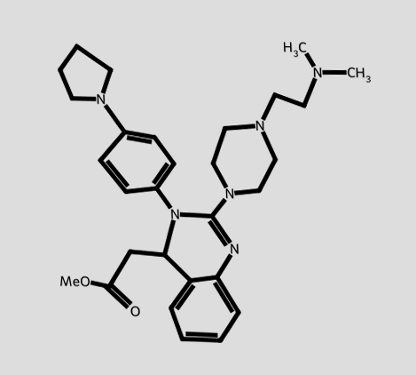 COC(=O)CC1c2ccccc2N=C(N2CCN(CCN(C)C)CC2)N1c1ccc(N2CCCC2)cc1